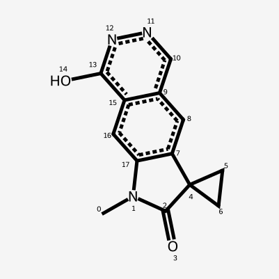 CN1C(=O)C2(CC2)c2cc3cnnc(O)c3cc21